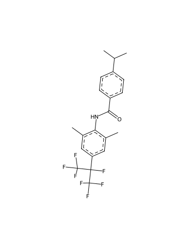 Cc1cc(C(F)(C(F)(F)F)C(F)(F)F)cc(C)c1NC(=O)c1ccc(C(C)C)cc1